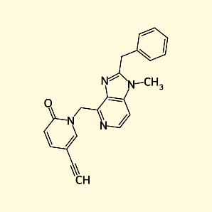 C#Cc1ccc(=O)n(Cc2nccc3c2nc(Cc2ccccc2)n3C)c1